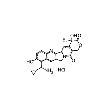 CCC1(O)C(=O)OCc2c1cc1n(c2=O)Cc2cc3c(C(N)C4CC4)c(O)ccc3nc2-1.Cl